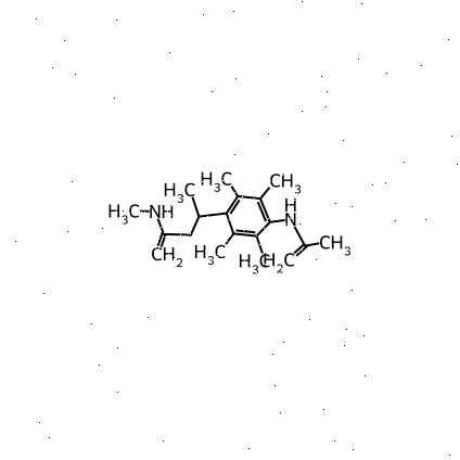 C=C(C)Nc1c(C)c(C)c(C(C)CC(=C)NC)c(C)c1C